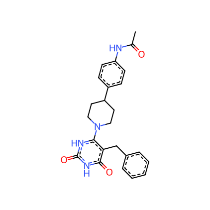 CC(=O)Nc1ccc(C2CCN(c3[nH]c(=O)[nH]c(=O)c3Cc3ccccc3)CC2)cc1